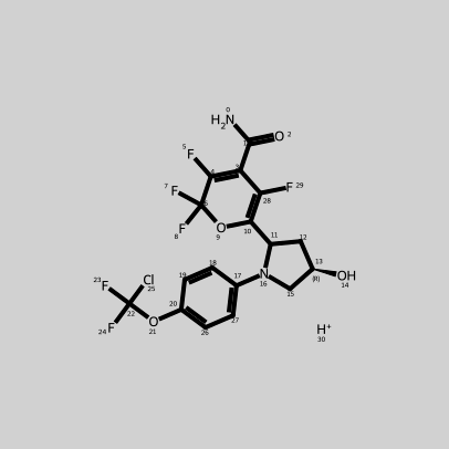 NC(=O)C1=C(F)C(F)(F)OC(C2C[C@@H](O)CN2c2ccc(OC(F)(F)Cl)cc2)=C1F.[H+]